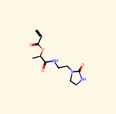 C=CC(=O)OC(C)C(=O)NCCN1CCNC1=O